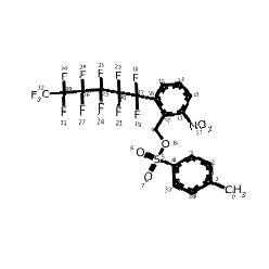 Cc1ccc(S(=O)(=O)OCc2c([N+](=O)[O-])cccc2C(F)(F)C(F)(F)C(F)(F)C(F)(F)C(F)(F)C(F)(F)F)cc1